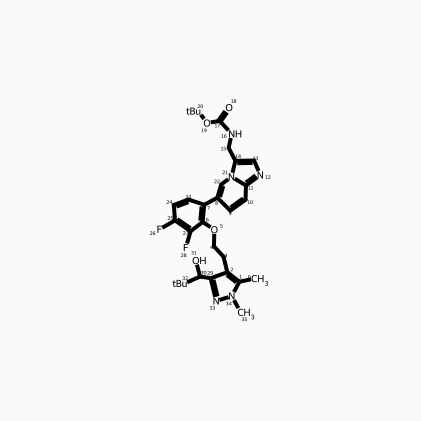 Cc1c(CCOc2c(-c3ccc4ncc(CNC(=O)OC(C)(C)C)n4c3)ccc(F)c2F)c(C(O)C(C)(C)C)nn1C